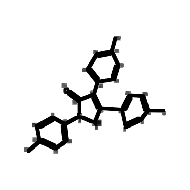 Cc1ccc(-c2[nH]n(-c3ccc(C)cc3)c(=O)c2-c2ccc(C)cc2)cc1